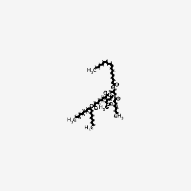 CCCCC/C=C\C/C=C\CCCCCCCC(=O)OCC(COC(=O)CCCCCCC(=O)OC(CCCCCCCC)CCCCCCCC)CN(CCCCN(C)C)C(=O)CCCCCCC